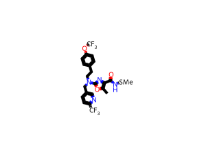 CSNC(=O)c1nc(N(CCc2ccc(OC(F)(F)F)cc2)Cc2ccc(C(F)(F)F)nc2)oc1C